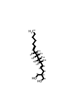 CCCCC/C=C/C(F)(F)C(F)(F)C(F)(F)C(F)(F)/C=C/CC(CO)CO